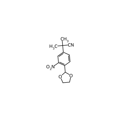 CC(C)(C#N)c1ccc(C2OCCO2)c([N+](=O)[O-])c1